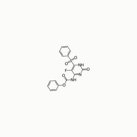 O=C(Nc1nc(=O)[nH]c(S(=O)(=O)c2ccccc2)c1F)Oc1ccccc1